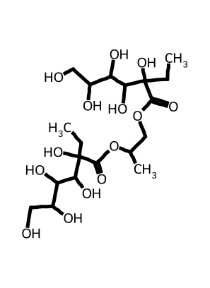 CCC(O)(C(=O)OCC(C)OC(=O)C(O)(CC)C(O)C(O)C(O)CO)C(O)C(O)C(O)CO